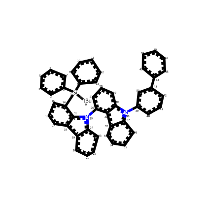 CC(C)(C)[Si](c1ccccc1)(c1ccccc1)c1cccc2c3ccccc3n(-c3cccc4c3c3ccccc3n4-c3cccc(-c4ccccc4)c3)c12